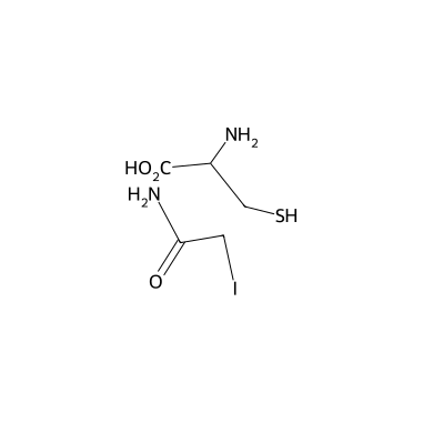 NC(=O)CI.NC(CS)C(=O)O